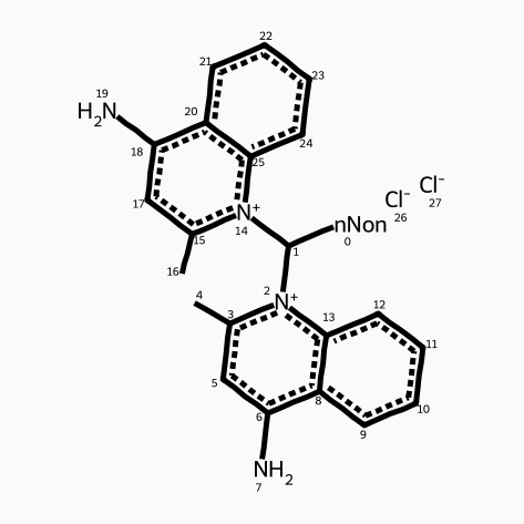 CCCCCCCCCC([n+]1c(C)cc(N)c2ccccc21)[n+]1c(C)cc(N)c2ccccc21.[Cl-].[Cl-]